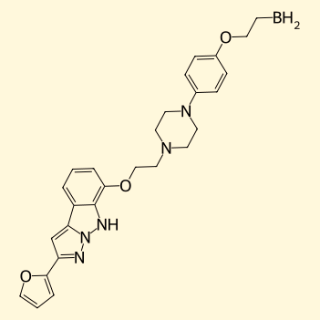 BCCOc1ccc(N2CCN(CCOc3cccc4c3[nH]n3nc(-c5ccco5)cc43)CC2)cc1